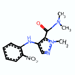 CN(C)C(=O)c1c(Nc2ccccc2[N+](=O)[O-])cnn1C